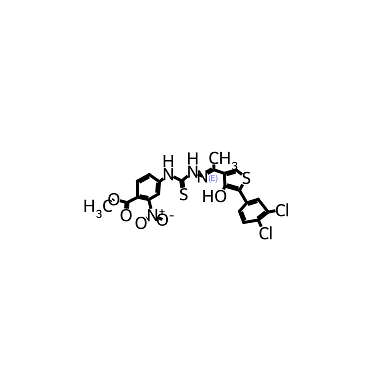 COC(=O)c1ccc(NC(=S)N/N=C(\C)c2csc(-c3ccc(Cl)c(Cl)c3)c2O)cc1[N+](=O)[O-]